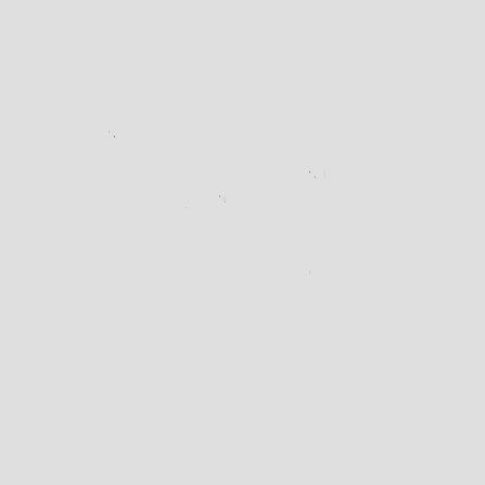 COc1ccc([N+]2(C(=O)c3ccncc3)C=C(N)C=CC2)cc1O[C@@H]1CCOC1